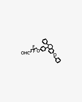 O=CCCC(F)(F)COc1ccc(C2c3ccc(OCc4ccccc4)cc3CCC2c2ccccc2)cc1